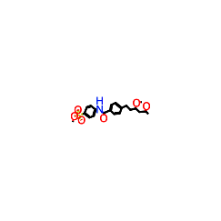 COC(CCc1ccc(C(=O)Nc2ccc(S(=O)(=O)OC)cc2)cc1)CC(C)=O